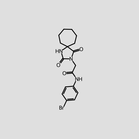 O=C(CN1C(=O)NC2(CCCCCC2)C1=O)Nc1ccc(Br)cc1